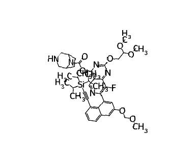 COCOc1cc(-c2ncc3c(OC(=O)N4C5CCC4CNC5)nc(OCC(OC)OC)nc3c2F)c2c(C#C[Si](C(C)C)(C(C)C)C(C)C)cccc2c1